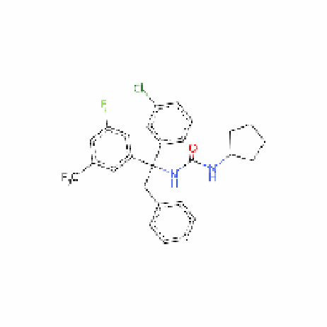 O=C(NC1CCCC1)NC(Cc1ccccc1)(c1cccc(Cl)c1)c1cc(F)cc(C(F)(F)F)c1